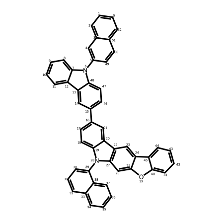 c1ccc2cc(-n3c4ccccc4c4cc(-c5ccc6c(c5)c5cc7c(cc5n6-c5cccc6ccccc56)oc5ccccc57)ccc43)ccc2c1